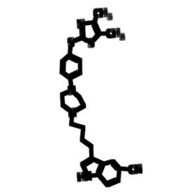 Cc1nc(Sc2ccc(N3CCN(CCCCc4c[nH]c5ccc(C#N)cc45)CC3)cc2)sc1C